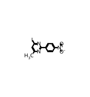 Cc1cc(I)nc(-c2ccc([N+](=O)[O-])cc2)n1